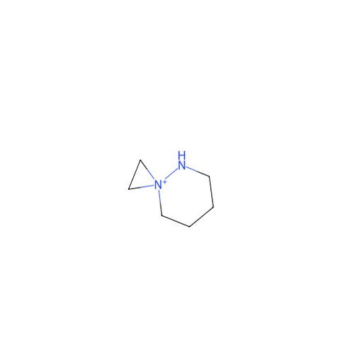 C1CC[N+]2(CC2)NC1